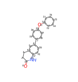 O=C1CCc2cc(-c3ccc(Oc4ccccc4)cc3)ccc2N1